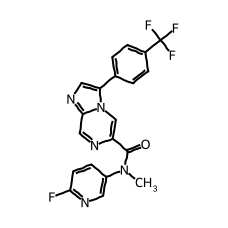 CN(C(=O)c1cn2c(-c3ccc(C(F)(F)F)cc3)cnc2cn1)c1ccc(F)nc1